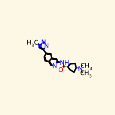 Cn1cc(-c2ccc3cnc(NC(=O)[C@H]4CC[C@H](N(C)C)CC4)cc3c2)nn1